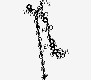 CCc1c2c(nc3ccc(OCCCNC(=O)OCc4ccc(NC(=O)[C@H](CCCCN)NC(=O)[C@H](Cc5c[nH]c6ccccc56)NC(=O)CCOCCOCCOCCOCCOCCOCCOCCOCCOCCN=[N+]=[N-])cc4)cc13)-c1cc3c(c(=O)n1C2)COC(=O)[C@]3(O)CC